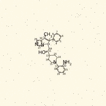 CC1=C(c2ccccc2)C(CC(O)C2CCN(c3ccccc3N)CC2)n2cncc21